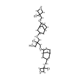 CCC1(COC2CC3CCC(OCC(CC)(CO)COC4CC5CCC(OCC6(CC)COC6)C(C5)C4)C(C3)C2)COC1